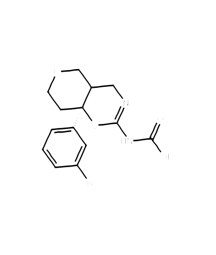 O=C(O)NC1=NCC2COCC[C@]2(c2cccc(Br)c2)S1